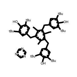 Cc1c(Cc2cc(C(C)(C)C)c(O)c(C(C)(C)C)c2)c(C)c(Cc2cc(C(C)(C)C)c(O)c(C(C)(C)C)c2)c(C)c1Cc1cc(C(C)(C)C)c(O)c(C(C)(C)C)c1.c1ncncn1